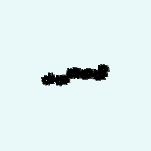 c1ccc2ncc(-c3ccc4ccc(-c5ccc6ccc(-c7ccc8cc(-c9ccc%10ccc%11cccnc%11c%10n9)ccc8c7)nc6c5)cc4n3)cc2c1